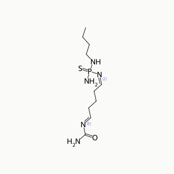 CCCCNP(N)(=S)/N=C\CCC/C=N/C(N)=O